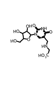 O=C(O)CNCc1cn(C2OC(CO)C(O)C2O)c(=O)[nH]c1=O